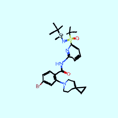 CC(C)(C)[Si](C)(C)N=S(=O)(c1cccc(NC(=O)c2ccc(Br)cc2N2CCC3(CC2)CC3)n1)C(C)(C)C